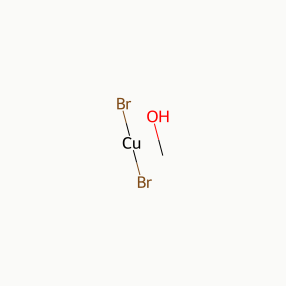 CO.[Br][Cu][Br]